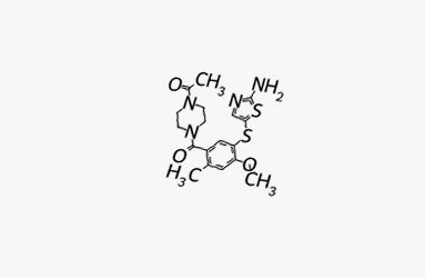 COc1cc(C)c(C(=O)N2CCN(C(C)=O)CC2)cc1Sc1cnc(N)s1